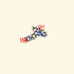 O=C(O)[C@@H]1C[C@@H](F)CC[C@H]1c1nn(-c2ncccc2F)cc1-c1ccc(N2CCS(O)(O)CC2)cc1